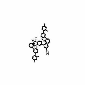 Cc1ccc(-c2ccc3c(c2)c2ccccc2n3-c2cc(C(F)(F)F)c(-n3c4ccccc4c4cc(-c5ccc(C)cc5C)ccc43)cc2-c2cccc(C#N)c2)c(C)c1